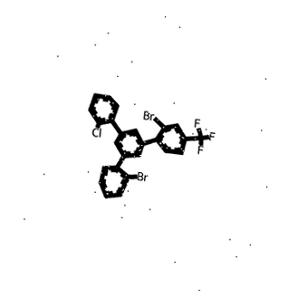 FC(F)(F)c1ccc(-c2cc(-c3ccccc3Cl)cc(-c3ccccc3Br)c2)c(Br)c1